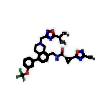 Cc1noc([C@H]2C[C@@H]2C(=O)NCc2ccc(-c3cccc(OC(F)(F)F)c3)c3c2CN(Cc2noc(C(C)C)n2)CC3)n1